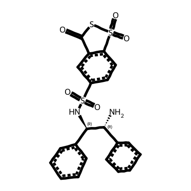 N[C@H](c1ccccc1)[C@H](NS(=O)(=O)c1ccc2c(c1)C(=O)SS2(=O)=O)c1ccccc1